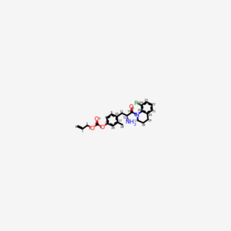 C=CCOC(=O)Oc1ccc(C[C@H](N)C(=O)N2CCCc3cccc(F)c32)c(C)c1